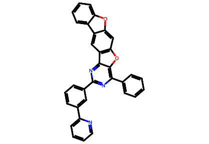 c1ccc(-c2nc(-c3cccc(-c4ccccn4)c3)nc3c2oc2cc4oc5ccccc5c4cc23)cc1